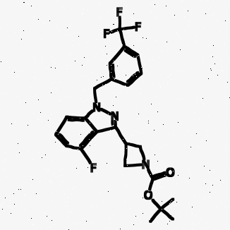 CC(C)(C)OC(=O)N1CC(c2nn(Cc3cccc(C(F)(F)F)c3)c3cccc(F)c23)C1